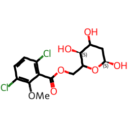 COc1c(Cl)ccc(Cl)c1C(=O)OCC1O[C@H](O)CC(O)[C@@H]1O